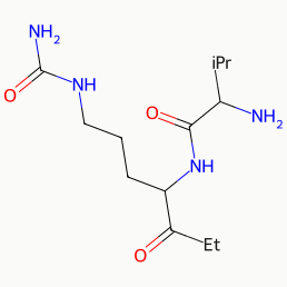 CCC(=O)C(CCCNC(N)=O)NC(=O)C(N)C(C)C